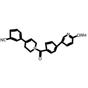 COc1ccc(-c2ccc(C(=O)N3CC=C(c4cccc(C#N)c4)CC3)cc2)cn1